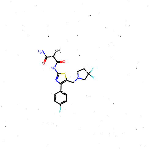 C[C](C(N)=O)C(=O)Nc1nc(-c2ccc(F)cc2)c(CN2CCC(F)(F)C2)s1